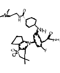 CN(C)CCNC(=O)[C@H]1CC[C@H](Nc2cc(-n3c4c(c5c3CC(C)(C)CS5(=O)=O)CCC4)cc(F)c2C(N)=O)CC1